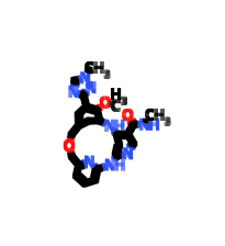 CNC(=O)c1cnc2cc1NC1CC(=CC(c3ncn(C)n3)=C1OC)COCc1cccc(n1)N2